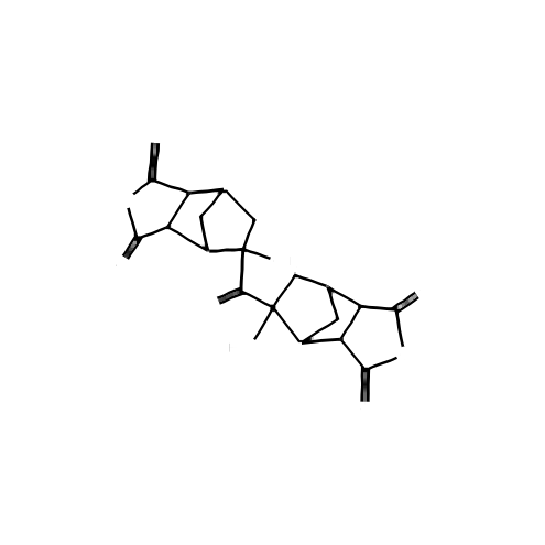 CC1(C(=O)C2(C)CC3CC2C2C(=O)OC(=O)C32)CC2CC1C1C(=O)OC(=O)C21